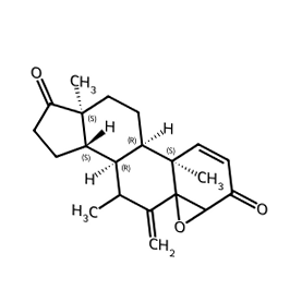 C=C1C(C)[C@@H]2[C@@H](CC[C@]3(C)C(=O)CC[C@@H]23)[C@@]2(C)C=CC(=O)C3OC132